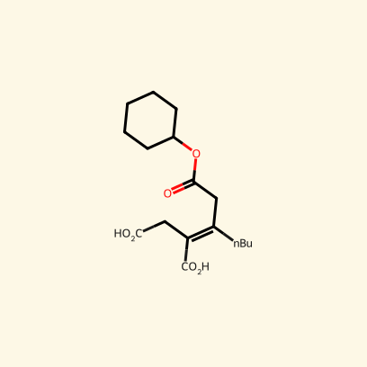 CCCCC(CC(=O)OC1CCCCC1)=C(CC(=O)O)C(=O)O